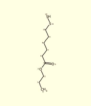 CCCOC(=O)CCCCCSS